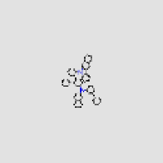 c1ccc(-c2cccc(N(c3ccc(-c4ccccc4-n4c5ccccc5c5cc6ccccc6cc54)c(-c4ccccc4)c3)c3ccc4ccccc4c3)c2)cc1